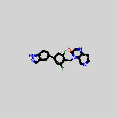 O=c1cnc2ccncc2n1Cc1c(F)cc(-c2ccc3[nH]ncc3c2)cc1F